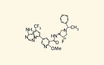 COc1ncc(-c2cc(C(F)(F)F)c3c(N)ncnn23)cc1C(=O)N[C@@H]1CN(C(C)c2ccccc2)C[C@@H]1F